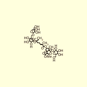 C=C[C@](C)(CC/C=C(\C)C(=O)O[C@H]1C[C@@H]2C(C(=O)OC)=CO[C@@H](O[C@@H]3O[C@H](CO)[C@@H](O)[C@H](O)[C@H]3O)[C@@H]2[C@H]1C)O[C@@H]1O[C@H](CO[C@@H]2OC[C@](O)(CO)[C@H]2O)[C@@H](O)[C@H](O)[C@H]1O